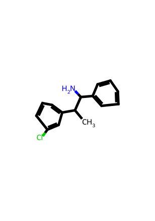 CC(c1cccc(Cl)c1)C(N)c1ccccc1